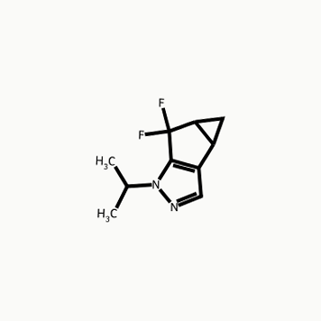 CC(C)n1ncc2c1C(F)(F)C1CC21